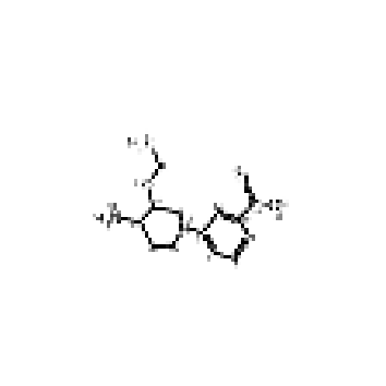 CCOC1CN(c2cccc(C(=O)O)c2)CCC1N